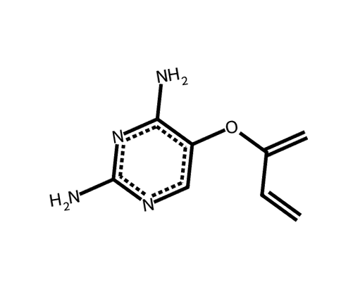 C=CC(=C)Oc1cnc(N)nc1N